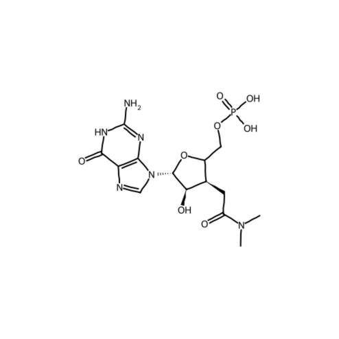 CN(C)C(=O)C[C@@H]1C(COP(=O)(O)O)O[C@@H](n2cnc3c(=O)[nH]c(N)nc32)[C@@H]1O